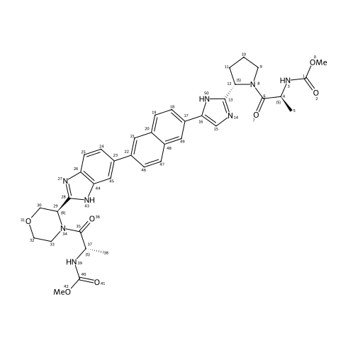 COC(=O)N[C@@H](C)C(=O)N1CCC[C@H]1c1ncc(-c2ccc3cc(-c4ccc5nc([C@@H]6COCCN6C(=O)[C@H](C)NC(=O)OC)[nH]c5c4)ccc3c2)[nH]1